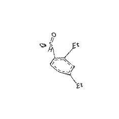 CCc1ccc([SH](=O)=O)c(CC)c1